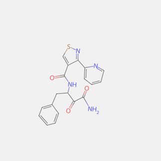 NC(=O)C(=O)C(Cc1ccccc1)NC(=O)c1csnc1-c1ccccn1